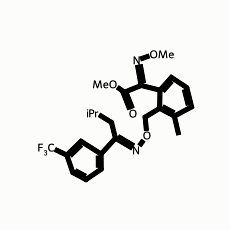 CO/N=C(/C(=O)OC)c1cccc(C)c1CO/N=C(\CC(C)C)c1cccc(C(F)(F)F)c1